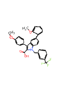 COc1ccc(-c2c(C(=O)O)n(Cc3cccc(C(F)(F)F)c3)c3ccc(-c4ccccc4OC)cc23)cc1